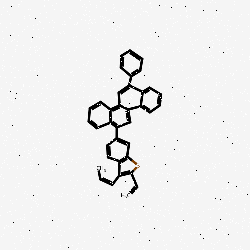 C=Cc1sc2cc(-c3cc4c5ccccc5c(-c5ccccc5)cc4c4ccccc34)ccc2c1/C=C\C